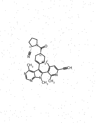 C#Cc1cc(C)c(-c2c(C3=CC[C@@H](C(=O)N4CCC[C@H]4C#N)CC3)c3c(C)ncnc3n2C)c(C)n1